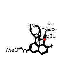 COCOc1cc(C2CC3CNCC2N3C(=O)OC(C)(C)C)c2c(C#C[Si](C(C)C)(C(C)C)C(C)C)c(F)ccc2c1